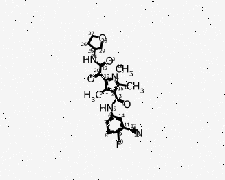 Cc1c(C(=O)Nc2ccc(F)c(C#N)c2)c(C)n(C)c1C(=O)C(=O)N[C@H]1CCOC1